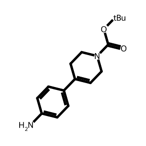 CC(C)(C)OC(=O)N1CC=C(c2ccc(N)cc2)CC1